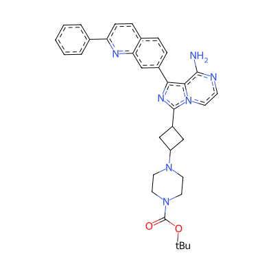 CC(C)(C)OC(=O)N1CCN(C2CC(c3nc(-c4ccc5ccc(-c6ccccc6)nc5c4)c4c(N)nccn34)C2)CC1